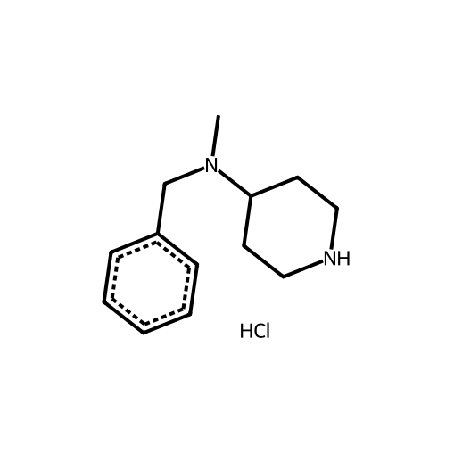 CN(Cc1ccccc1)C1CCNCC1.Cl